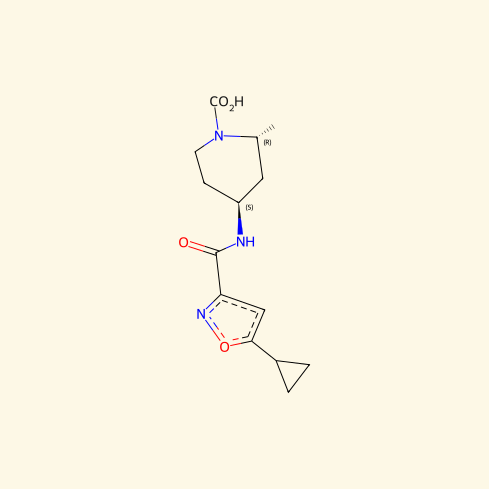 C[C@@H]1C[C@@H](NC(=O)c2cc(C3CC3)on2)CCN1C(=O)O